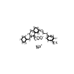 CCc1ccc(CCOc2ccc3c(c2)C(C(=O)[O-])N(Cc2ccccc2)CC3)nc1.[Na+]